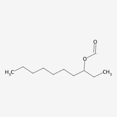 CCCCCCCC(CC)O[C]=O